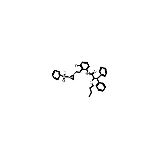 CCCCOC(C(=O)Nc1cccc(F)c1CC[C@H]1CN1S(=O)(=O)c1ccccc1)C(c1ccccc1)c1ccccc1